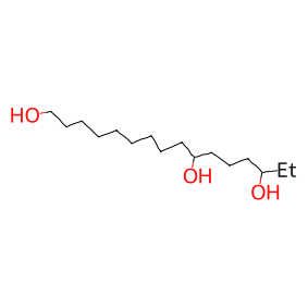 CCC(O)CCCC(O)CCCCCCCCCO